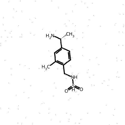 Cc1cc([C@@H](C)N)ccc1CN[SH](=O)=O